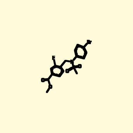 COC(=O)c1ccc(CN(c2ccc(Br)cc2)S(C)(=O)=O)c(F)c1